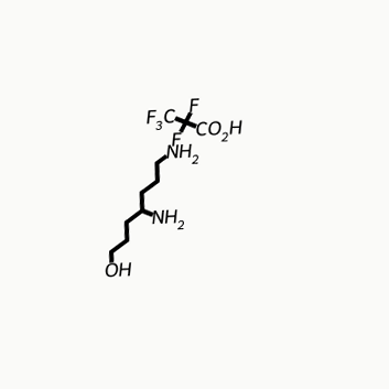 NCCCC(N)CCCO.O=C(O)C(F)(F)C(F)(F)F